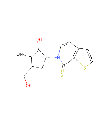 O=NC1C(CO)CC(n2ccc3ccsc3c2=S)C1O